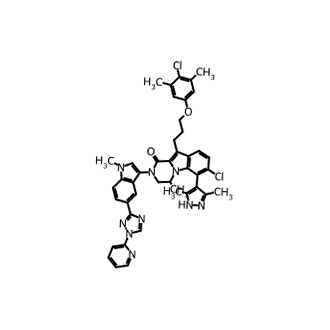 Cc1cc(OCCCc2c3n(c4c(-c5c(C)n[nH]c5C)c(Cl)ccc24)C(C)CN(c2cn(C)c4ccc(-c5ncn(-c6ccccn6)n5)cc24)C3=O)cc(C)c1Cl